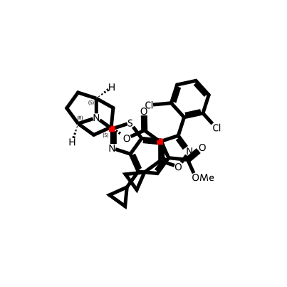 COC(=O)c1cc(C2CC2)c2nc(N3[C@@H]4CC[C@H]3C[C@H](OC(=O)c3c(-c5c(Cl)cccc5Cl)noc3C3CC3)C4)sc2c1